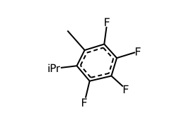 Cc1c(F)c(F)c(F)c(F)c1C(C)C